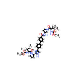 COC(=O)N[C@H](C(=O)N1CC[C@H](NC(=O)c2ccc(-c3ccc(-c4c[nH]c([C@@H]5CCCN5C(=O)[C@@H](NC(=O)OC)C(C)C)n4)cc3)cc2)C1)C(C)C